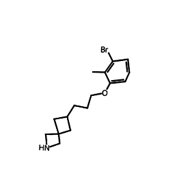 Cc1c(Br)cccc1OCCCC1CC2(CNC2)C1